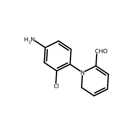 Nc1ccc(N2CC=CC=C2C=O)c(Cl)c1